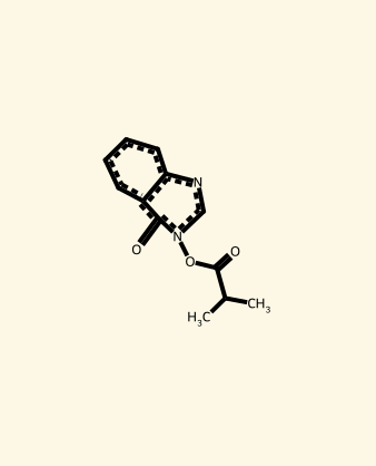 CC(C)C(=O)On1cnc2ccccc2c1=O